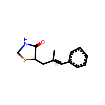 C/C(=C\c1ccccc1)CC1SCNC1=O